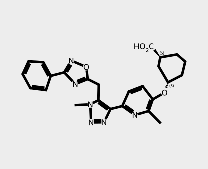 Cc1nc(-c2nnn(C)c2Cc2nc(-c3ccccc3)no2)ccc1O[C@H]1CCC[C@H](C(=O)O)C1